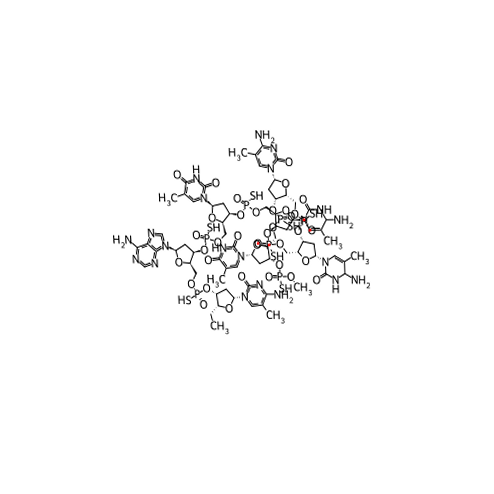 CC[C@H]1O[C@@H](n2cc(C)c(N)nc2=O)C[C@H]1OP(=O)(S)OC[C@H]1O[C@@H](n2cnc3c(N)ncnc32)C[C@H]1OP(=O)(S)OC[C@H]1O[C@@H](n2cc(C)c(=O)[nH]c2=O)C[C@H]1OP(=O)(S)OC[C@H]1O[C@@H](N2C=C(C)C(N)NC2=O)C[C@H]1OP(=O)(S)OC[C@H]1O[C@@H](N2C=C(C)C(N)NC2=O)C[C@H]1OP(=O)(S)OC[C@H]1O[C@@H](n2cc(C)c(N)nc2=O)C[C@H]1OP(=O)(S)OC[C@H]1O[C@@H](n2cc(C)c(=O)[nH]c2=O)C[C@H]1OP(=O)(S)OC